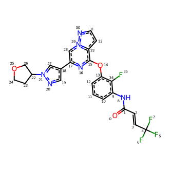 O=C(C=CC(F)(F)F)Nc1cccc(Oc2nc(-c3cnn(C4CCOC4)c3)cn3nccc23)c1F